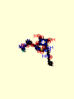 Cc1ccc(CCCC(=O)NCCCCC[C@H](NC(=O)CN2CCN(CC(=O)O)CCN(CC(=O)O)CCN(CC(=O)O)CC2)C(=O)NC(=O)SC(=O)N2CCN(CCCOc3ccc4nccc(C(=O)NCC(=O)N5CC(F)(F)C[C@@H]5C#N)c4c3)CC2)cc1